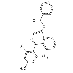 Cc1cc(C)c(C(=O)c2ccccc2C(=O)OC(=O)c2ccccc2)c(C)c1